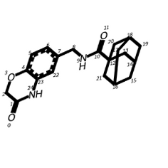 O=C1COc2ccc(CNC(=O)C34CC5CC(CC(C5)C3)C4)cc2N1